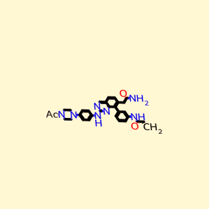 C=CC(=O)Nc1cccc(-c2c(CC(N)=O)ccc3cnc(Nc4ccc(N5CCN(C(C)=O)CC5)cc4)nc23)c1